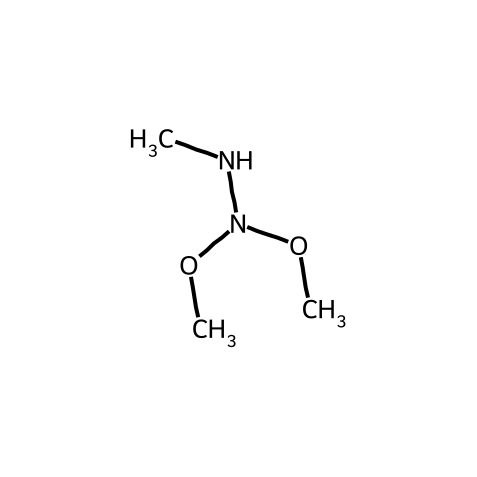 CNN(OC)OC